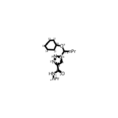 CCCNC(=O)c1cn(C(CCC)OC2CCCCC2)nn1